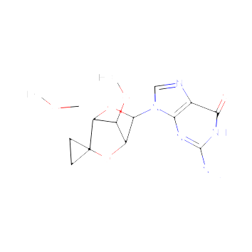 COC[C@@]12OC(n3cnc4c(=O)[nH]c(N)nc43)C(OC13CC3)C2OC